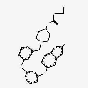 CCOC(=O)OC1CCN(Cc2cccc(Nc3nccc(Nc4ccc5[nH]c(C)cc5c4)n3)c2)CC1